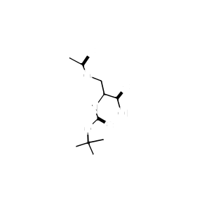 CC(=O)OCC(NC(=O)OC(C)(C)C)C(=O)O